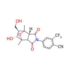 CC12OC(C)([C@@H]3C(=O)N(c4ccc(C#N)c(C(F)(F)F)c4)C(=O)C31)[C@H](CO)[C@H]2O